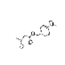 COc1ccc(COC(=O)CC(C)=O)cc1